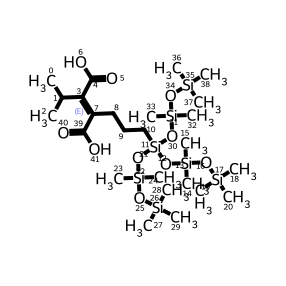 CC(C)/C(C(=O)O)=C(/CCC[Si](O[Si](C)(C)O[Si](C)(C)C)(O[Si](C)(C)O[Si](C)(C)C)O[Si](C)(C)O[Si](C)(C)C)C(=O)O